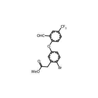 COC(=O)Cc1cc(Oc2ccc(C(F)(F)F)cc2C=O)ccc1Br